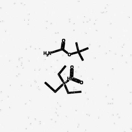 CC(C)(C)OC(N)=O.CC[N+](CC)(CC)[SH](=O)=O